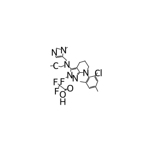 CCCN(Cc1cncn1C)c1c2c(nn1C)N(c1c(C)cc(C)cc1Cl)CCC2.O=C(O)C(F)(F)F